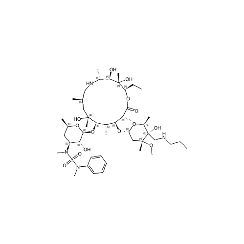 CCCNC[C@]1(O)[C@H](C)O[C@@H](O[C@H]2[C@H](C)[C@@H](O[C@@H]3O[C@H](C)C[C@H](N(C)S(=O)(=O)N(C)c4ccccc4)[C@H]3O)[C@](C)(O)C[C@@H](C)CN[C@H](C)[C@@H](O)[C@](C)(O)[C@@H](CC)OC(=O)[C@@H]2C)C[C@@]1(C)OC